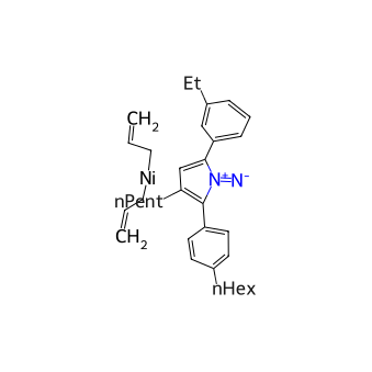 C=C[CH2][Ni][CH2]C=C.CCCCCCc1ccc(C2=C(CCCCC)C=C(c3cccc(CC)c3)[N+]2=[N-])cc1